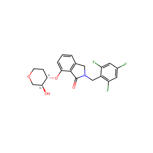 O=C1c2c(cccc2O[C@H]2CCOC[C@@H]2O)CN1Cc1c(F)cc(F)cc1F